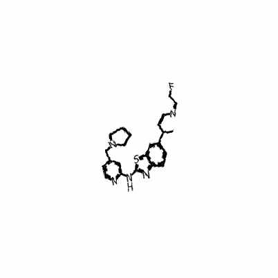 CC(/C=C\N=C/CF)c1ccc2nc(Nc3cc(CN4CCCC4)ccn3)sc2c1